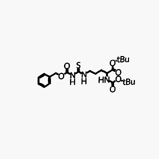 CC(C)(C)OC(=O)NC(CCCNC(=S)NC(=O)OCc1ccccc1)C(=O)OC(C)(C)C